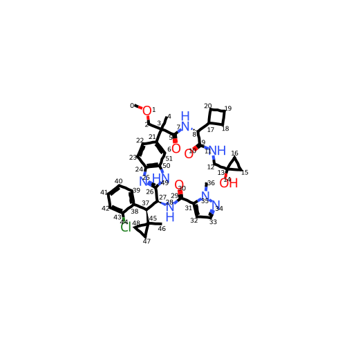 COCC(C)(C(=O)N[C@@H](C(=O)NCC1(O)CC1)C1CCC1)c1ccc2nc([C@@H](NC(=O)c3ccnn3C)[C@H](c3ccccc3Cl)C3(C)CC3)[nH]c2c1